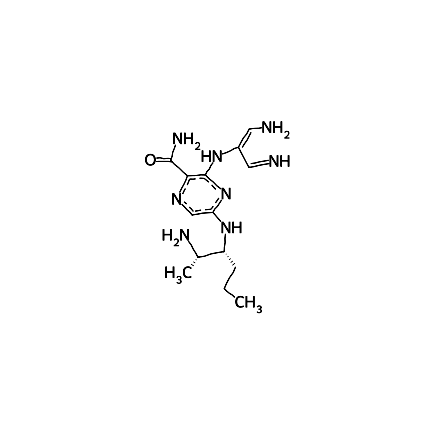 CCC[C@@H](Nc1cnc(C(N)=O)c(N/C(C=N)=C/N)n1)[C@H](C)N